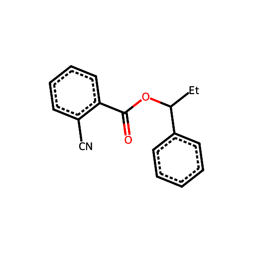 CCC(OC(=O)c1ccccc1C#N)c1ccccc1